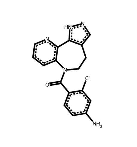 Nc1ccc(C(=O)N2CCc3cn[nH]c3-c3ncccc32)c(Cl)c1